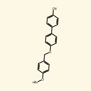 CCCCOc1ccc(COc2ccc(-c3ccc(C#N)cc3)cc2)cc1